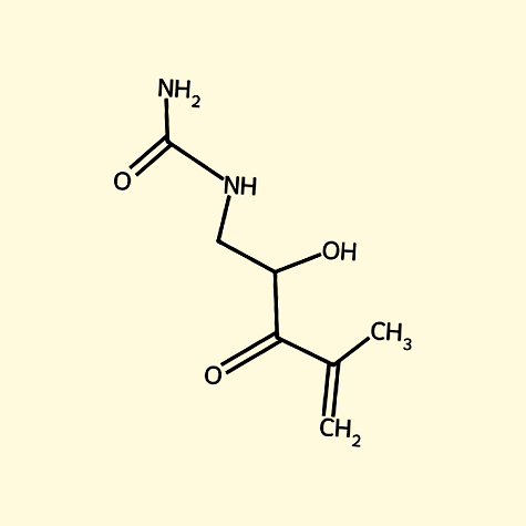 C=C(C)C(=O)C(O)CNC(N)=O